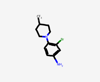 Nc1ccc(N2CCC(C(F)(F)F)CC2)c(Br)c1